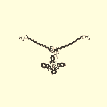 CCCCCCCCCCCCCCCCC[N+](C)(C)CCCCCCCCCCCCCCCCC.c1ccc2c(c1)C1=NC/2=N\c2c3ccccc3c3[n]2[Cu][n]2/c(c4ccccc4/c2=N/C2=N\C(=N/3)c3ccccc32)=N\1